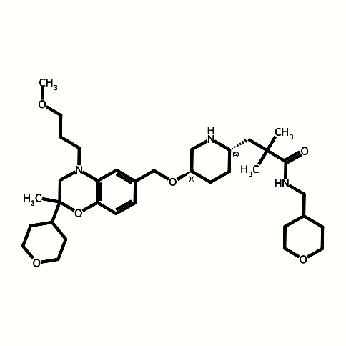 COCCCN1CC(C)(C2CCOCC2)Oc2ccc(CO[C@@H]3CC[C@@H](CC(C)(C)C(=O)NCC4CCOCC4)NC3)cc21